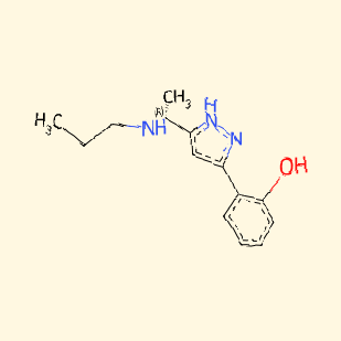 CCCN[C@H](C)c1cc(-c2ccccc2O)n[nH]1